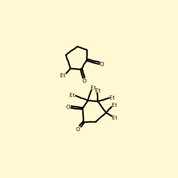 CCC1(CC)CC(=O)C(=O)C(CC)(CC)C1(CC)CC.CCC1CCCC(=O)C1=O